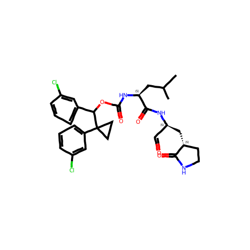 CC(C)C[C@H](NC(=O)OC(c1cccc(Cl)c1)C1(c2cccc(Cl)c2)CC1)C(=O)N[C@H](C=O)C[C@@H]1CCNC1=O